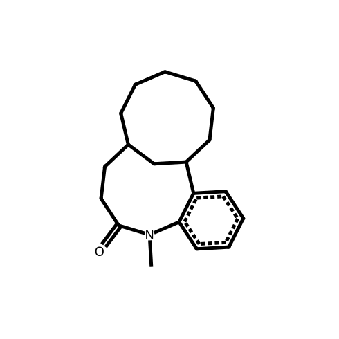 CN1C(=O)CCC2CCCCCCC(C2)c2ccccc21